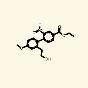 CCOC(=O)c1ccc(-c2ccc(OC)cc2CCO)c([N+](=O)[O-])c1